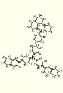 c1ccc(N(c2ccc(-c3ccc(N(c4ccc(-c5ccc6ccccc6c5)cc4)c4ccc(-c5ccc6ccccc6c5)cc4)cc3)cc2)c2cccc3ccccc23)cc1